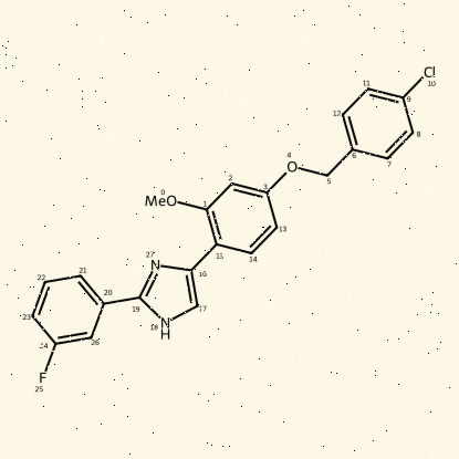 COc1cc(OCc2ccc(Cl)cc2)ccc1-c1c[nH]c(-c2cccc(F)c2)n1